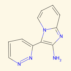 Nc1nc2ccccn2c1-c1cccnn1